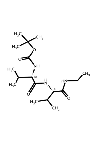 CCNC(=O)[C@@H](NC(=O)[C@@H](NC(=O)OC(C)(C)C)C(C)C)C(C)C